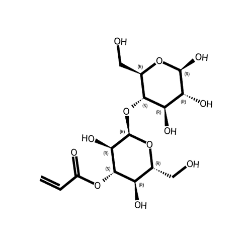 C=CC(=O)O[C@@H]1[C@@H](O)[C@@H](O[C@H]2[C@H](O)[C@@H](O)[C@H](O)O[C@@H]2CO)O[C@H](CO)[C@H]1O